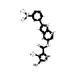 Cc1n[nH]c(C(=O)Nc2cnc3[nH]c(-c4cccc(N(C)C)c4)cc3c2)c1C